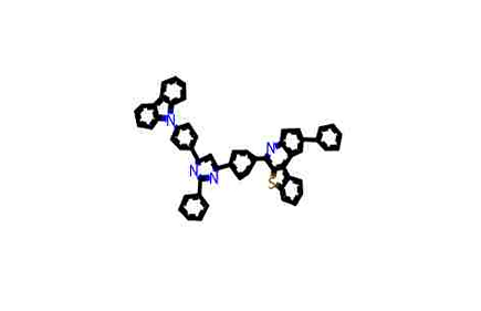 c1ccc(-c2ccc3nc(-c4ccc(-c5cc(-c6ccc(-n7c8ccccc8c8ccccc87)cc6)nc(-c6ccccc6)n5)cc4)c4sc5ccccc5c4c3c2)cc1